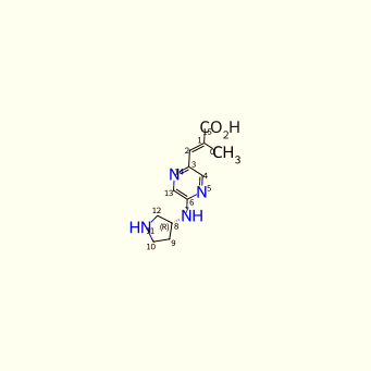 CC(=Cc1cnc(N[C@@H]2CCNC2)cn1)C(=O)O